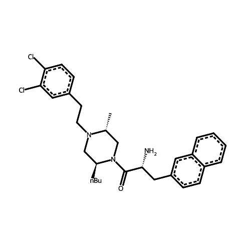 CCCC[C@H]1CN(CCc2ccc(Cl)c(Cl)c2)[C@H](C)CN1C(=O)[C@H](N)Cc1ccc2ccccc2c1